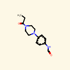 CCC(=O)N1CCN(c2ccc(NC=O)cc2)CC1